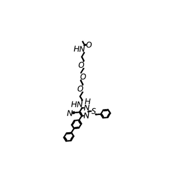 CC(=O)NCCCOCCOCCOCCCNC1NC(SCc2ccccc2)=NC(c2ccc(-c3ccccc3)cc2)=C1C#N